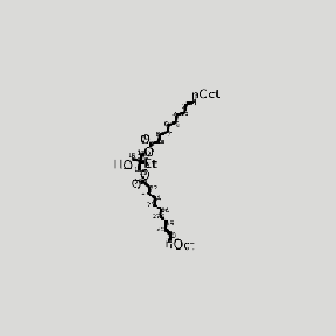 CCCCCCCC/C=C/CCCCCCCC(=O)OCC(CC)(CO)COC(=O)CCCCCCC/C=C/CCCCCCCC